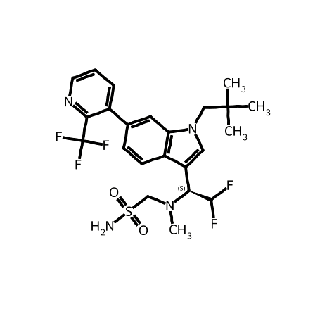 CN(CS(N)(=O)=O)[C@@H](c1cn(CC(C)(C)C)c2cc(-c3cccnc3C(F)(F)F)ccc12)C(F)F